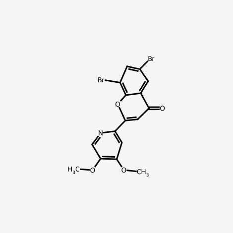 COc1cnc(-c2cc(=O)c3cc(Br)cc(Br)c3o2)cc1OC